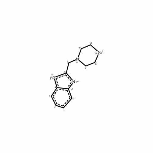 [c]1cccc2[nH]c(CN3CCNCC3)nc12